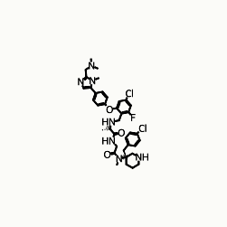 C[C@H](NCc1c(F)cc(Cl)cc1Oc1ccc(-c2cnc(CN(C)C)n2C)cc1)C(=O)NCC(=O)N(C)[C@@]1(Cc2ccc(Cl)cc2)CCCNC1